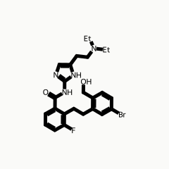 CCN(CC)CCc1cnc(NC(=O)c2cccc(F)c2CCc2cc(Br)ccc2CO)[nH]1